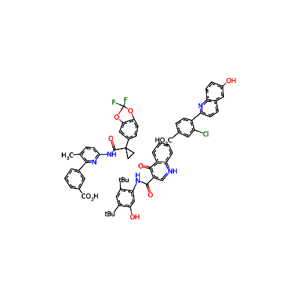 CC(C)(C)c1cc(C(C)(C)C)c(NC(=O)c2c[nH]c3ccccc3c2=O)cc1O.Cc1ccc(NC(=O)C2(c3ccc4c(c3)OC(F)(F)O4)CC2)nc1-c1cccc(C(=O)O)c1.O=C(O)c1ccc(-c2ccc3cc(O)ccc3n2)c(Cl)c1